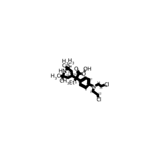 CCC(C(=O)OO)(c1ccc(N(CCCl)CCCl)cc1)C1CC(C)(C)NC(C)(C)C1